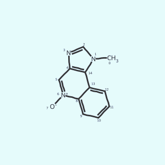 Cn1cnc2c[n+]([O-])c3ccccc3c21